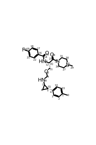 Cc1ccc([C@@H]2CC2NCOC[C@H](NC(=O)c2ccc(F)cc2)C(=O)N2CCN(C)CC2)cc1